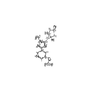 CC(C)n1nc(-c2cncc(OC(F)F)c2)nc1C1[C@H]2CC(=O)C[C@@H]12